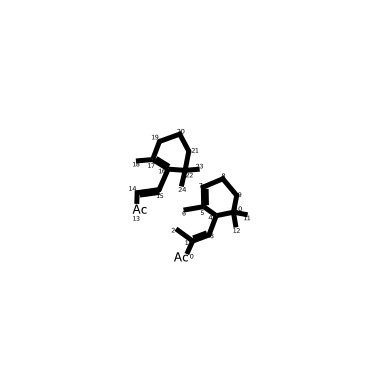 CC(=O)/C(C)=C/C1C(C)=CCCC1(C)C.CC(=O)/C=C/C1=C(C)CCCC1(C)C